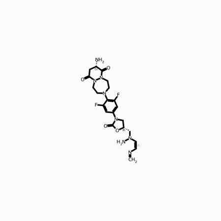 C=N/C=C\N(N)C[C@H]1CN(c2cc(F)c(N3CCN4C(=O)C[C@H](N)C(=O)N4CC3)c(F)c2)C(=O)O1